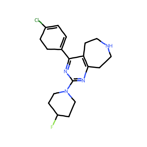 FC1CCN(c2nc3c(c(C4=CC=C(Cl)CC4)n2)CCNCC3)CC1